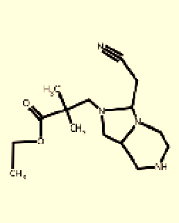 CCOC(=O)C(C)(C)CN1CC2CNCCN2C1CC#N